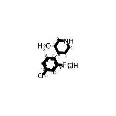 C[C@@H]1CNCC[C@@H]1c1ccc(Cl)cc1F.Cl